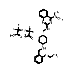 CCOc1ccccc1CN[C@H]1CC[C@@H](CNc2nc(N(C)C)c3ccccc3n2)CC1.O=C(O)C(F)(F)F.O=C(O)C(F)(F)F